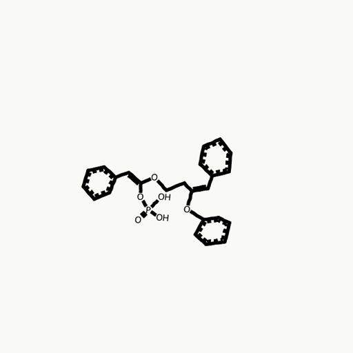 O=P(O)(O)OC(=Cc1ccccc1)OCCC(=Cc1ccccc1)Oc1ccccc1